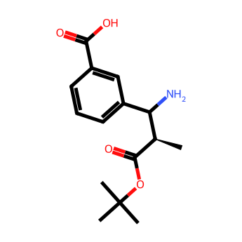 C[C@@H](C(=O)OC(C)(C)C)C(N)c1cccc(C(=O)O)c1